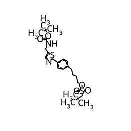 CC(C)(C)CS(=O)(=O)OCCCCc1ccc(-c2ncc(CNC(=O)OC(C)(C)C)s2)cc1